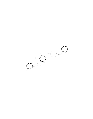 Cc1c(OC2CCN(C(C)c3ccccc3)CC2)cnc(S(=O)(=O)Nc2cccc(F)n2)c1F